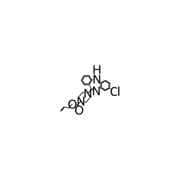 C=CCOC(=O)N1CCN(C2=Nc3cc(Cl)ccc3Nc3ccccc32)CC1